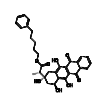 C[C@H](C(=O)OCCCCCc1ccccc1)[C@@]1(O)Cc2c(O)c3c(c(O)c2[C@@H](O)C1)C(=O)c1ccccc1C3=O